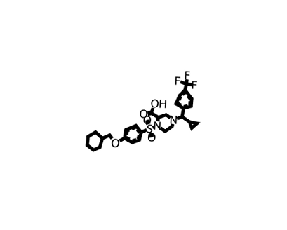 O=C(O)C1CN(C(c2ccc(C(F)(F)F)cc2)C2CC2)CCN1S(=O)(=O)c1ccc(OCC2CCCCC2)cc1